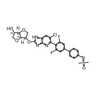 CS(C)(=O)=Nc1ccc(-c2cc(F)c(-c3nc4nc(O[C@@H]5CO[C@H]6[C@@H]5OC[C@H]6O)[nH]c4cc3Cl)c(F)c2)cc1